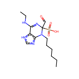 CCCCCCN1c2nc[nH]c2C(NCC)=NC1(C=O)S(=O)(=O)O